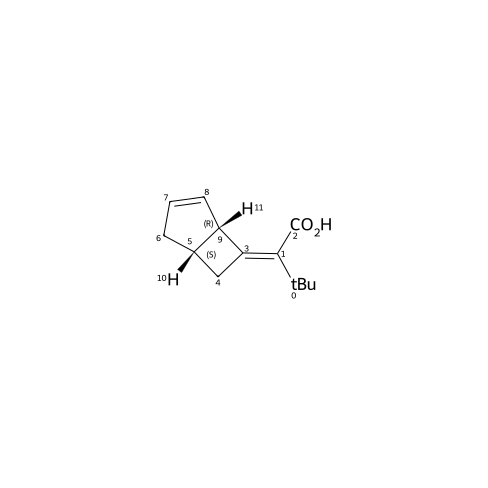 CC(C)(C)C(C(=O)O)=C1C[C@@H]2CC=C[C@H]12